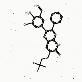 N=Cc1cc(-c2nc3cc(CCC(F)(F)F)c(=O)[nH]c3nc2-c2ccccc2)cc(Cl)c1N